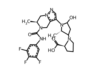 C[C@H]1Cn2ncc(N3C(O)CC(N4CCC[C@H]4C(=O)O)[C@@H]3C)c2CN1C(=O)Nc1cc(F)c(F)c(F)c1